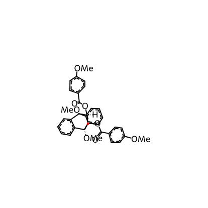 COc1ccc(C(=O)OC2[C@H](OC(=O)c3ccc(OC)cc3)[C@]3(OC)c4ccccc4[C@@]2(OC)c2ccccc23)cc1